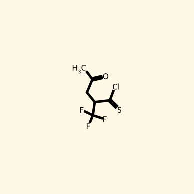 CC(=O)CC(C(=S)Cl)C(F)(F)F